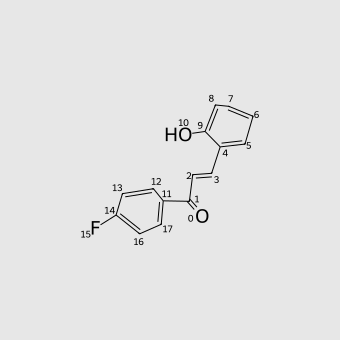 O=C(/C=C/c1ccccc1O)c1ccc(F)cc1